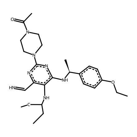 CCOc1ccc([C@H](C)Nc2nc(N3CCN(C(C)=O)CC3)nc(C=N)c2NC(CC)CC)cc1